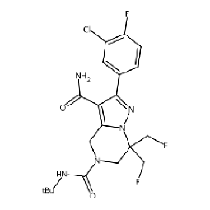 CC(C)(C)NC(=O)N1Cc2c(C(N)=O)c(-c3ccc(F)c(Cl)c3)nn2C(CF)(CF)C1